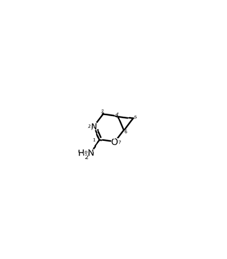 NC1=NCC2CC2O1